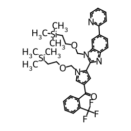 C[Si](C)(C)CCOCn1cc(C(=O)c2ccccc2C(F)(F)F)cc1-c1nc2ccc(-c3ccccn3)cc2n1COCC[Si](C)(C)C